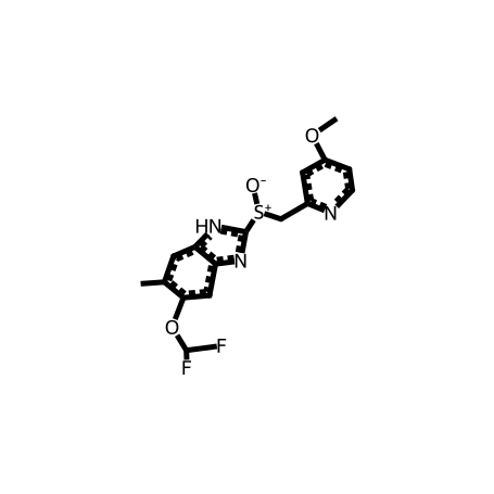 COc1ccnc(C[S+]([O-])c2nc3cc(OC(F)F)c(C)cc3[nH]2)c1